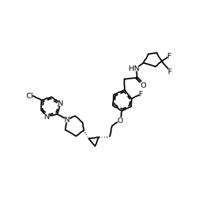 O=C(Cc1ccc(OCC[C@@H]2C[C@@H]2C2CCN(c3ncc(Cl)cn3)CC2)cc1F)NC1CCC(F)(F)C1